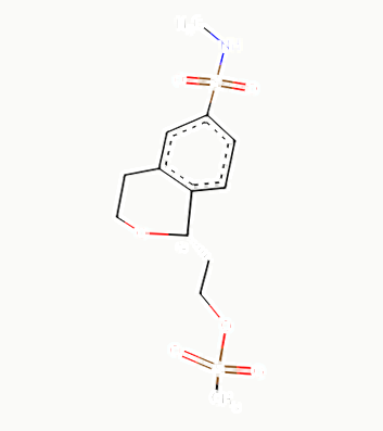 CNS(=O)(=O)c1ccc2c(c1)CCO[C@H]2CCOS(C)(=O)=O